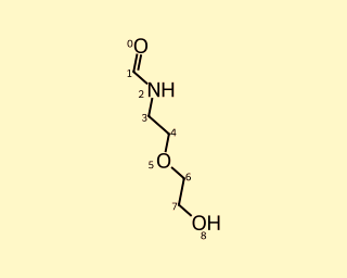 O=CNCCOCCO